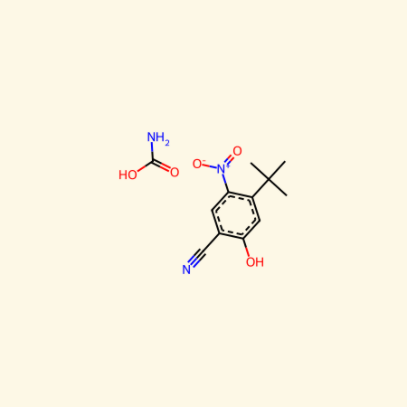 CC(C)(C)c1cc(O)c(C#N)cc1[N+](=O)[O-].NC(=O)O